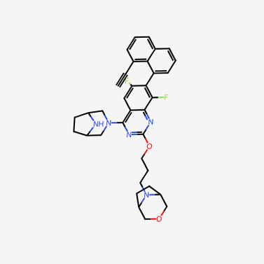 C#Cc1cccc2cccc(-c3c(F)cc4c(N5CC6CCC(C5)N6)nc(OCCCN5C6CCC5COC6)nc4c3F)c12